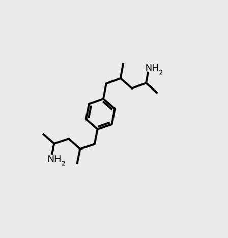 CC(N)CC(C)Cc1ccc(CC(C)CC(C)N)cc1